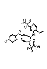 CNS(=O)(=O)c1ccc(SC)c(Nc2cc(Nc3ccc(Cl)cn3)ncn2)c1.O=C(O)C(F)(F)F